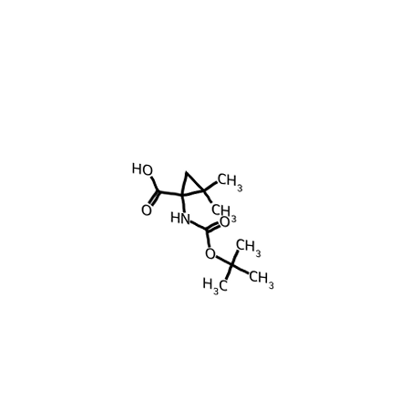 CC(C)(C)OC(=O)NC1(C(=O)O)CC1(C)C